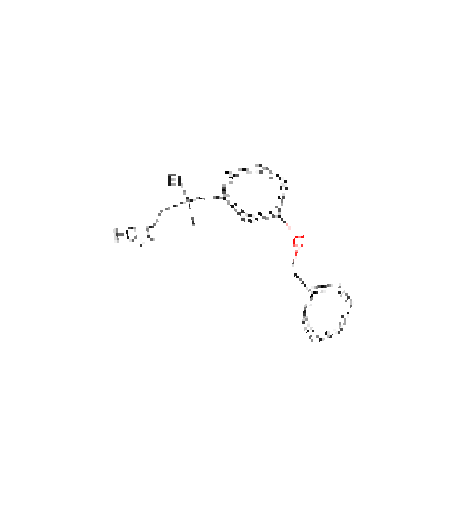 CCC(C)(CC(=O)O)c1cccc(OCc2ccccc2)c1